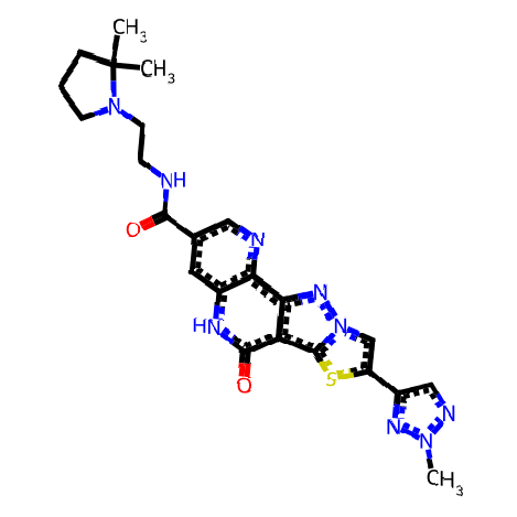 Cn1ncc(-c2cn3nc4c5ncc(C(=O)NCCN6CCCC6(C)C)cc5[nH]c(=O)c4c3s2)n1